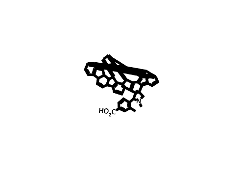 Cc1cc(C(=O)O)ccc1C1c2c(c3c4ccc5c6ccc7c8c9c%10c%11c%12c%13c(ccc%14c2c2c3c3c4c5c(c86)c%10c3c%11c2c%13%14)C2C=CC7C9C%122)CN1C